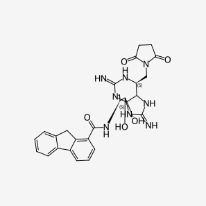 N=C1NC2[C@H](CN3C(=O)CCC3=O)NC(=N)N3C[C@H](NC(=O)c4cccc5c4Cc4ccccc4-5)C(O)(O)C23N1